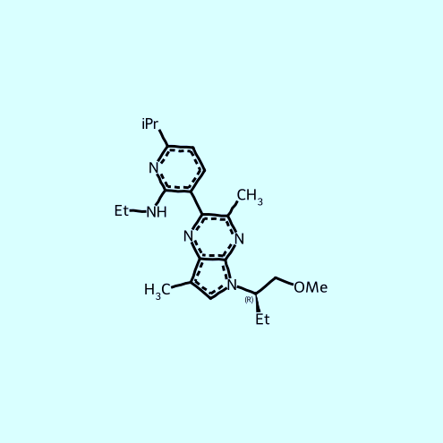 CCNc1nc(C(C)C)ccc1-c1nc2c(C)cn([C@H](CC)COC)c2nc1C